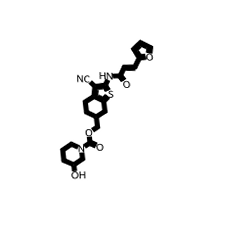 N#Cc1c(NC(=O)C=Cc2ccco2)sc2c1CCC(COC(=O)N1CCCC(O)C1)C2